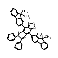 CC1(C)c2ccccc2-c2ccc(-c3c4nonc4c(-c4ccc5c(c4)C(C)(C)c4ccccc4-5)c4nc(-c5ccccc5)c(-c5ccccc5)nc34)cc21